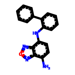 Nc1ccc(Nc2ccccc2-c2ccccc2)c2nonc12